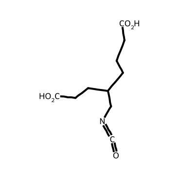 O=C=NCC(CCCC(=O)O)CCC(=O)O